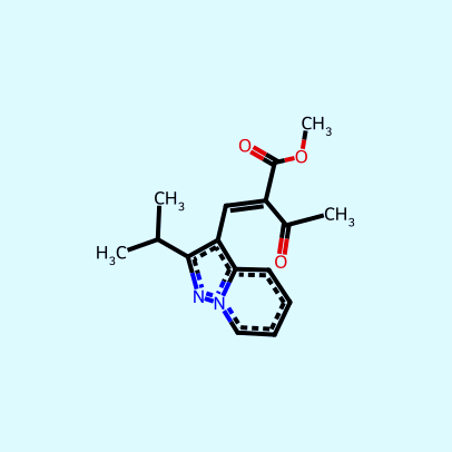 COC(=O)C(=Cc1c(C(C)C)nn2ccccc12)C(C)=O